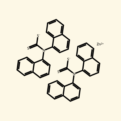 S=C([S-])N(c1cccc2ccccc12)c1cccc2ccccc12.S=C([S-])N(c1cccc2ccccc12)c1cccc2ccccc12.[Zn+2]